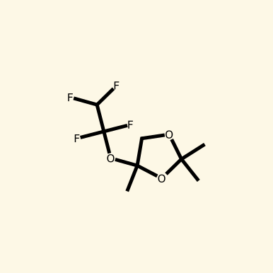 CC1(C)OCC(C)(OC(F)(F)C(F)F)O1